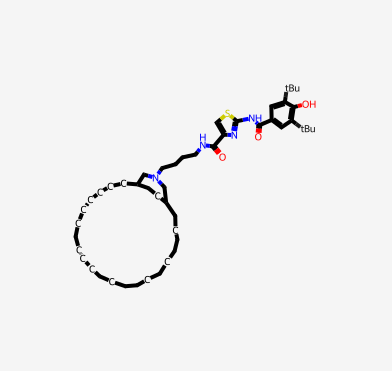 CC(C)(C)c1cc(C(=O)Nc2nc(C(=O)NCCCCN3CC4CCCCCCCCCCCCCCCCCCCCCC(CC4)C3)cs2)cc(C(C)(C)C)c1O